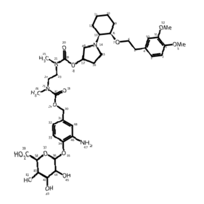 COc1ccc(CCO[C@@H]2CCCC[C@@H]2N2CCC(OC(=O)N(C)CCN(C)C(=O)OCc3ccc(OC4OC(C(=O)O)C(O)C(O)C4O)c(N)c3)C2)cc1OC